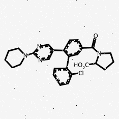 O=C(O)C1CCCN1C(=O)c1ccc(-c2cnc(N3CCCCC3)nc2)c(-c2ccccc2Cl)c1